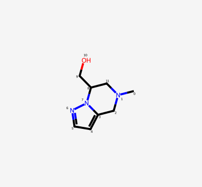 CN1Cc2ccnn2C(CO)C1